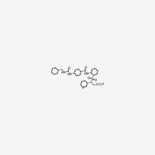 O=C(O)CC(c1cccnc1)S(=O)(=O)c1ccccc1NC(=O)c1ccc(NC(=O)NCc2ccccc2)cc1